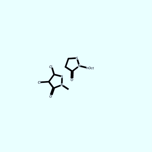 CCCCCCCCN1SCCC1=O.CN1SC(Cl)C(Cl)C1=O